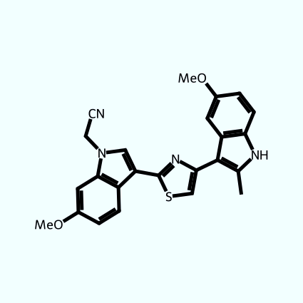 COc1ccc2[nH]c(C)c(-c3csc(-c4cn(CC#N)c5cc(OC)ccc45)n3)c2c1